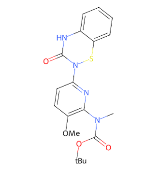 COc1ccc(N2Sc3ccccc3NC2=O)nc1N(C)C(=O)OC(C)(C)C